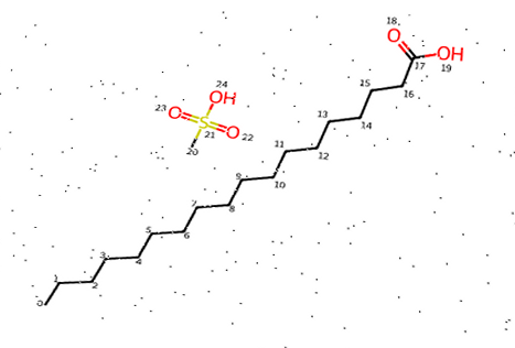 CCCCCCCCCCCCCCCCCC(=O)O.CS(=O)(=O)O